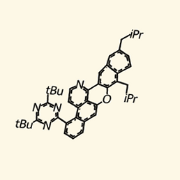 CC(C)Cc1ccc2c(CC(C)C)c3c(cc2c1)-c1nccc2c1c(cc1cccc(-c4nc(C(C)(C)C)nc(C(C)(C)C)n4)c12)O3